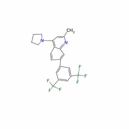 Cc1cc(N2CCCC2)c2ccc(-c3cc(C(F)(F)F)cc(C(F)(F)F)c3)cc2n1